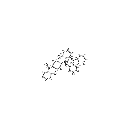 O=c1c2ccccc2oc2cc3c(=O)c4c(-n5c6ccccc6c6ccccc65)cccc4oc3cc12